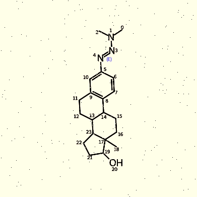 CN(C)/N=N/c1ccc2c(c1)CCC1C2CCC2(C)C(O)CCC12